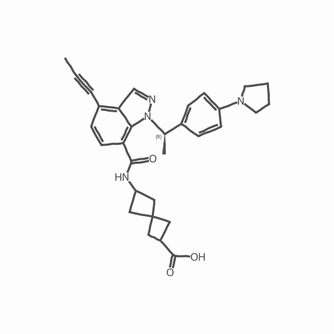 CC#Cc1ccc(C(=O)NC2CC3(C2)CC(C(=O)O)C3)c2c1cnn2[C@H](C)c1ccc(N2CCCC2)cc1